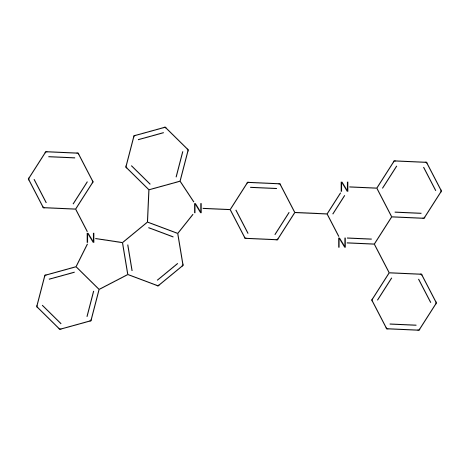 c1ccc(-c2nc(-c3ccc(-n4c5ccccc5c5c4ccc4c6ccccc6n(-c6ccccc6)c45)cc3)nc3ccccc23)cc1